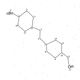 CCCCC1CCC(CCC2CCC(CO)CC2)CC1